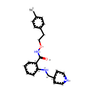 N#Cc1ccc(CCONC(=O)c2ccccc2NCc2ccncc2)cc1